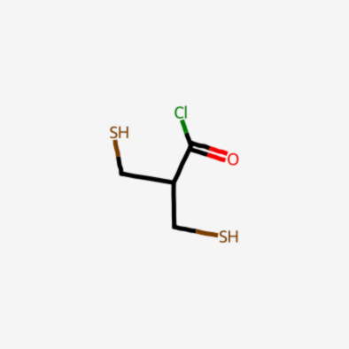 O=C(Cl)C(CS)CS